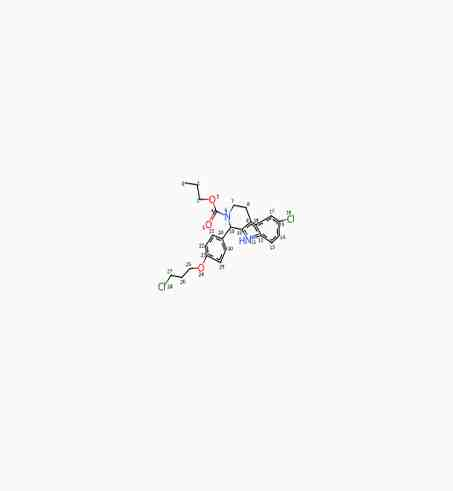 CCCOC(=O)N1CCc2c([nH]c3ccc(Cl)cc23)C1c1ccc(OCCCCl)cc1